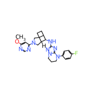 COc1cc(N2C[C@H]3[C@H](Nc4nc5n(n4)CCCN5c4ccc(F)cc4)C4CCC43C2)ncn1